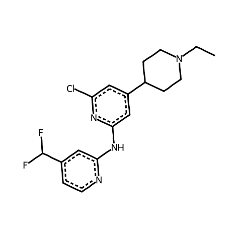 CCN1CCC(c2cc(Cl)nc(Nc3cc(C(F)F)ccn3)c2)CC1